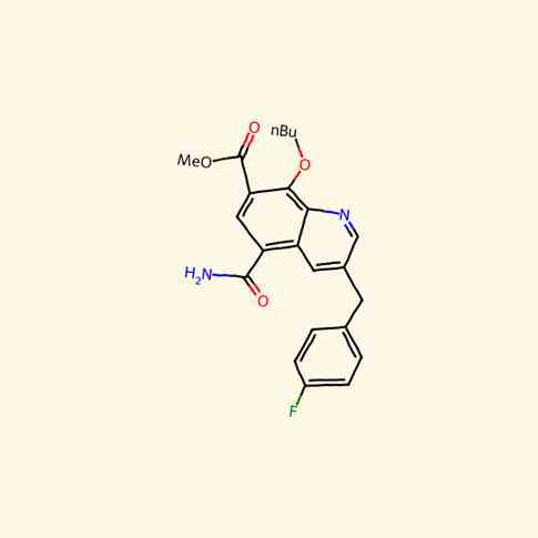 CCCCOc1c(C(=O)OC)cc(C(N)=O)c2cc(Cc3ccc(F)cc3)cnc12